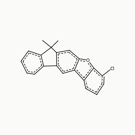 CC1(C)c2ccccc2-c2cc3c(cc21)oc1c(Cl)cccc13